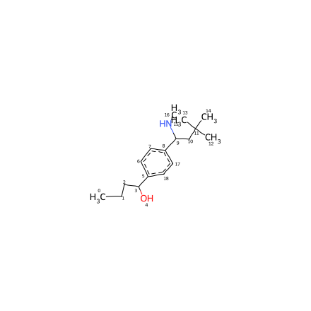 CCCC(O)c1ccc(C(CC(C)(C)C)NC)cc1